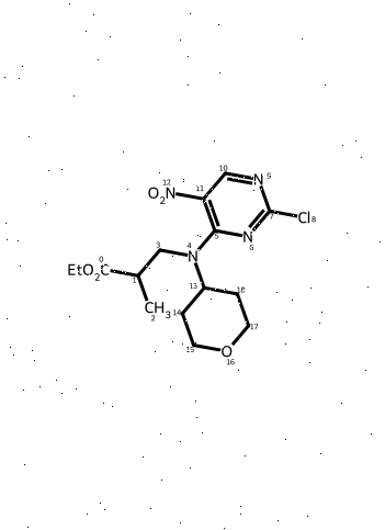 CCOC(=O)C(C)CN(c1nc(Cl)ncc1[N+](=O)[O-])C1CCOCC1